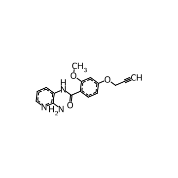 C#CCOc1ccc(C(=O)Nc2cccnc2N)c(OC)c1